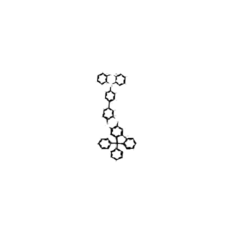 c1ccc(C2(c3ccccc3)c3ccccc3-c3cc4c(cc32)Oc2ccc(-c3ccc(N5c6ccccc6Oc6ccccc65)cc3)cc2O4)cc1